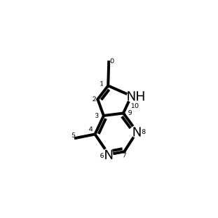 Cc1cc2c(C)ncnc2[nH]1